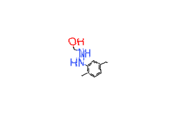 Cc1ccc(C)c(NNCO)c1